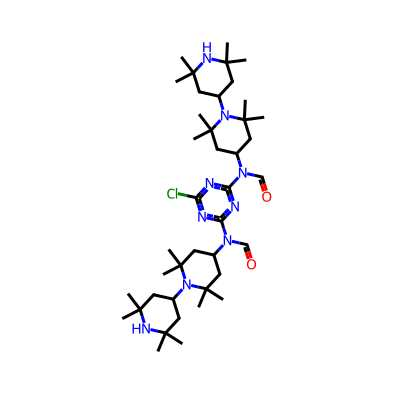 CC1(C)CC(N2C(C)(C)CC(N(C=O)c3nc(Cl)nc(N(C=O)C4CC(C)(C)N(C5CC(C)(C)NC(C)(C)C5)C(C)(C)C4)n3)CC2(C)C)CC(C)(C)N1